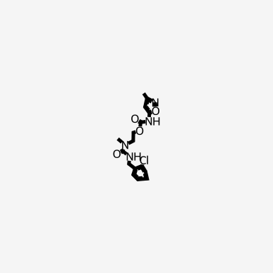 Cc1cc(NC(=O)OCCN(C)C(=O)NCc2ccccc2Cl)on1